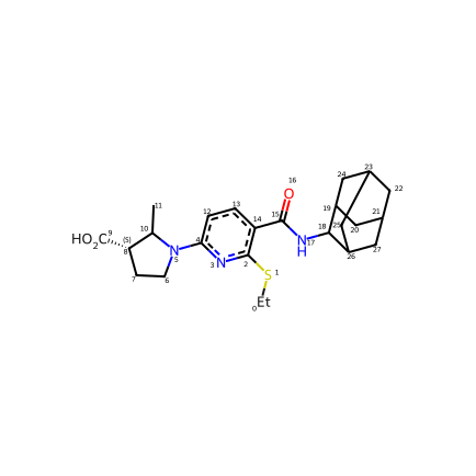 CCSc1nc(N2CC[C@H](C(=O)O)C2C)ccc1C(=O)NC1C2CC3CC(C2)CC1C3